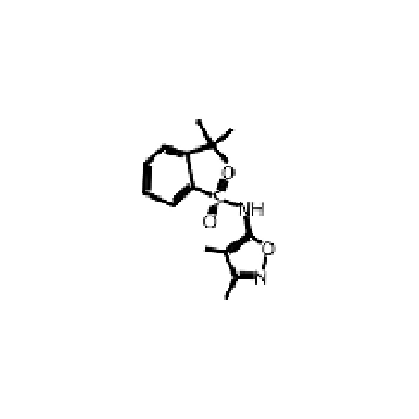 Cc1noc(NS(=O)(=O)c2ccccc2C(C)(C)C)c1C